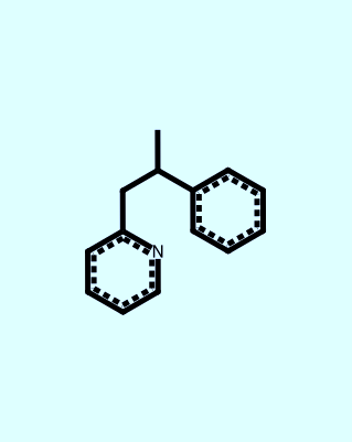 CC(Cc1ccccn1)c1ccccc1